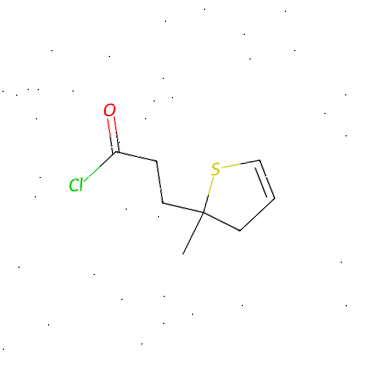 CC1(CCC(=O)Cl)CC=CS1